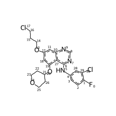 Fc1ccc(Nc2ncnc3cc(OCCCCl)cc(OC4CCOCC4)c23)cc1Cl